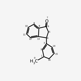 CC1C=C(C2CC(=O)c3ccccc32)C=CC1